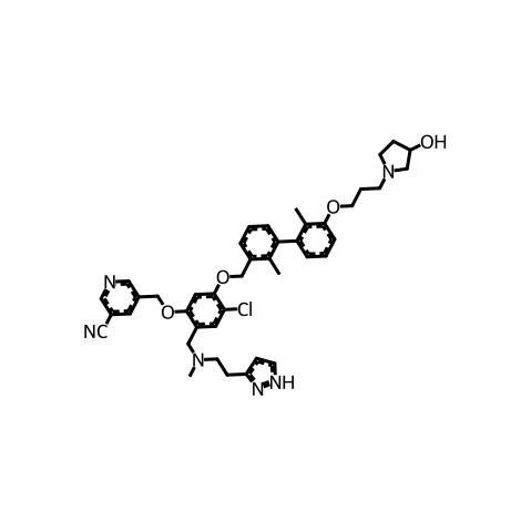 Cc1c(COc2cc(OCc3cncc(C#N)c3)c(CN(C)CCc3cc[nH]n3)cc2Cl)cccc1-c1cccc(OCCCN2CCC(O)C2)c1C